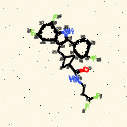 O=C(NCCC(F)F)C1CC(Cc2c(-c3ccc(F)cc3)[nH]c3c(F)cc(F)cc23)C1